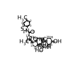 Cc1ccc2c(c1)SCN2C(=O)CC[C@@H](C)[C@H]1CC[C@H]2[C@@H]3[C@@H](O)C[C@@H]4C[C@H](O)CC[C@]4(C)[C@H]3CC[C@]12C